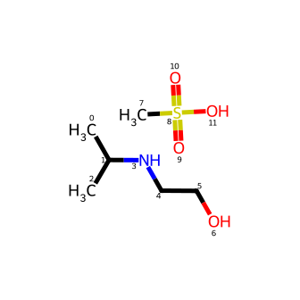 CC(C)NCCO.CS(=O)(=O)O